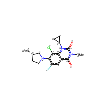 CN[C@H]1CCN(c2c(F)cc3c(=O)n(NC)c(=O)n(C4CC4)c3c2Cl)C1